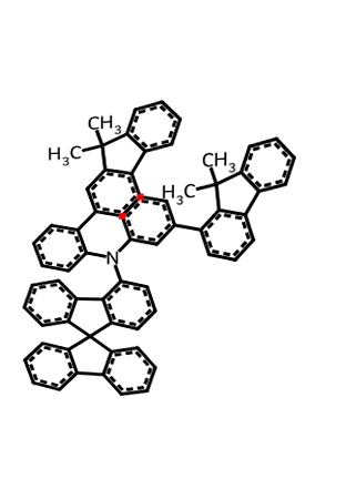 CC1(C)c2ccccc2-c2ccc(-c3ccccc3N(c3cccc(-c4cccc5c4C(C)(C)c4ccccc4-5)c3)c3cccc4c3-c3ccccc3C43c4ccccc4-c4ccccc43)cc21